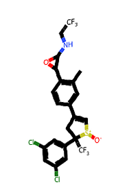 Cc1cc(C2=C[S+]([O-])C(c3cc(Cl)cc(Cl)c3)(C(F)(F)F)C2)ccc1C1OC1NCC(F)(F)F